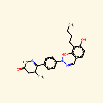 CCCCc1c(O)ccc(/C=N\Nc2ccc(C3=NNC(=O)CC3C)cc2)c1O